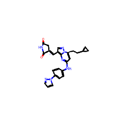 O=C1C/C(=C\c2cnn3c(CCC4CC4)cc(Nc4ccc(-n5cccn5)cc4)nc23)C(=O)N1